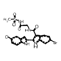 CS(=O)(=O)NC(=O)CNC(=O)c1c(-c2cc3cc(Cl)ccc3[nH]2)[nH]c2cc(Br)ccc12